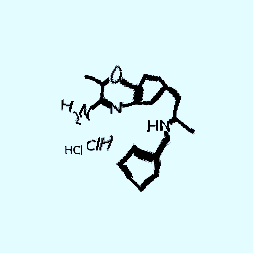 CC(Cc1ccc2c(c1)N=C(N)C(C)O2)NCc1ccccc1.Cl.Cl